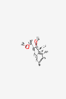 C=C(OC)c1cc2ccccc2cc1OC